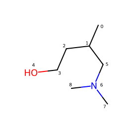 CC(CCO)CN(C)C